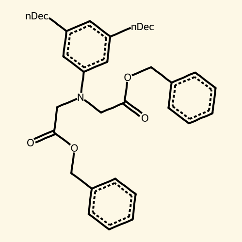 CCCCCCCCCCc1cc(CCCCCCCCCC)cc(N(CC(=O)OCc2ccccc2)CC(=O)OCc2ccccc2)c1